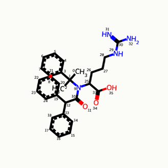 CC(C)(c1ccccc1)N(C(=O)C(c1ccccc1)c1ccccc1)C(CCCNC(=N)N)C(=O)O